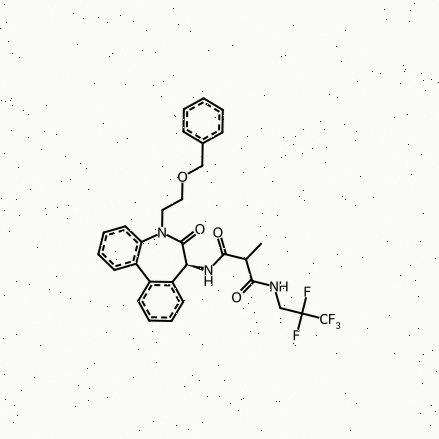 CC(C(=O)NCC(F)(F)C(F)(F)F)C(=O)N[C@@H]1C(=O)N(CCOCc2ccccc2)c2ccccc2-c2ccccc21